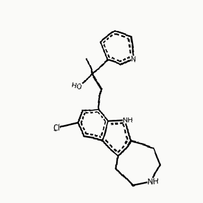 CC(O)(Cc1cc(Cl)cc2c3c([nH]c12)CCNCC3)c1cccnc1